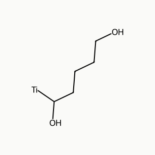 OCCCC[CH](O)[Ti]